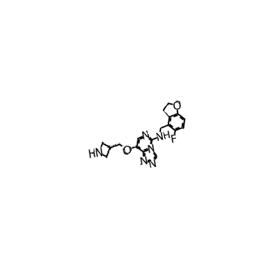 Fc1ccc2c(c1CNc1ncc(OCC3CNC3)c3nncn13)CCO2